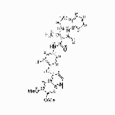 COc1cc2nccc(Oc3ccc(NC(=O)c4c(C)n(CC(C)=O)n(-c5ccccc5)c4=O)cc3F)c2cc1OC